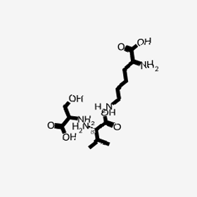 CC(C)[C@H](N)C(=O)O.NC(CO)C(=O)O.NCCCCC(N)C(=O)O